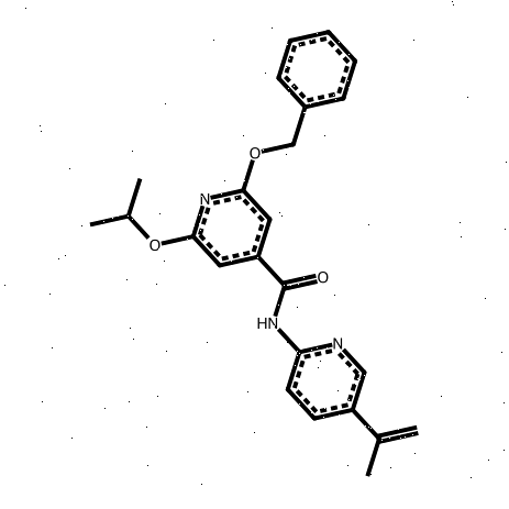 C=C(C)c1ccc(NC(=O)c2cc(OCc3ccccc3)nc(OC(C)C)c2)nc1